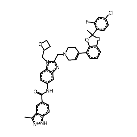 Cc1n[nH]c2ccc(C(=O)Nc3ccc4c(c3)nc(CN3CC=C(c5cccc6c5OC(C)(c5ccc(Cl)cc5F)O6)CC3)n4CC3CCO3)cc12